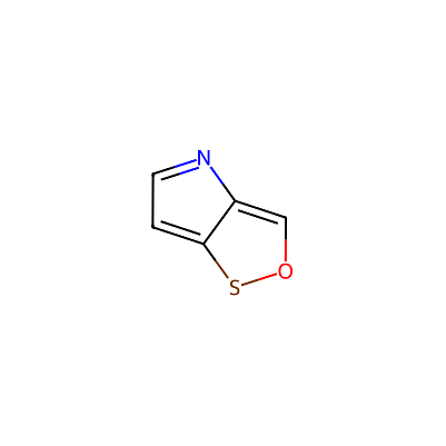 c1cc2socc-2n1